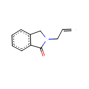 C=CCN1Cc2ccccc2C1=O